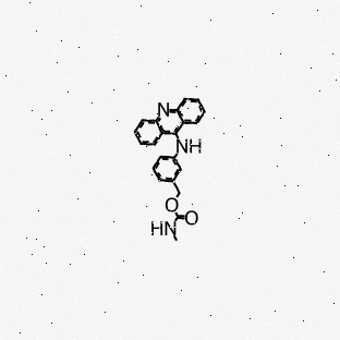 CNC(=O)OCc1cccc(Nc2c3ccccc3nc3ccccc23)c1